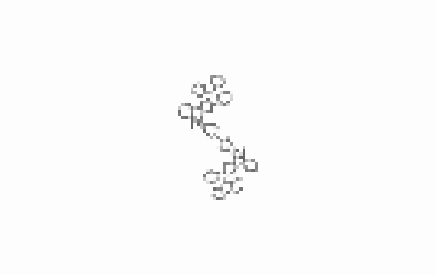 c1ccc2c(c1)-c1ccccc1C21c2ccccc2-c2cc3c(-c4ccc(-c5ccc(-c6nc7ccccc7c7cc8c(cc67)-c6ccccc6C86c7ccccc7-c7ccccc76)cc5)cc4)nc4ccccc4c3cc21